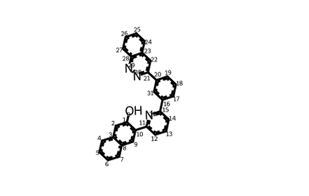 Oc1cc2ccccc2cc1-c1cccc(-c2cccc(-c3cc4ccccc4nn3)c2)n1